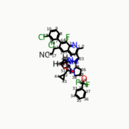 Cc1nc2c(F)c(-c3cccc(Cl)c3Cl)c(CCC#N)cc2c2c1cc([C@H]1C[C@H](OC(F)(F)c3ccccc3)CN1C(=O)C1CC1)n2[C@H]1[C@H]2CN[C@@H]1C2